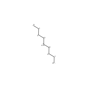 [CH2]CC[CH]S[CH]CC[CH2]